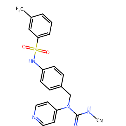 N#CNC(=N)N(Cc1ccc(NS(=O)(=O)c2cccc(C(F)(F)F)c2)cc1)c1ccncc1